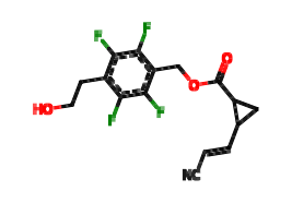 N#CC=CC1CC1C(=O)OCc1c(F)c(F)c(CCO)c(F)c1F